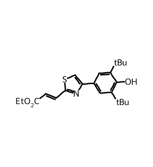 CCOC(=O)/C=C/c1nc(-c2cc(C(C)(C)C)c(O)c(C(C)(C)C)c2)cs1